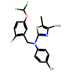 Cc1sc(N(Cc2cc(OC(F)F)ccc2F)c2ccc(C#N)cc2)nc1C=O